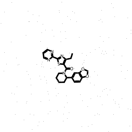 CCc1nc(-c2ncccn2)sc1C(=O)N1CCCCC1c1ccc2c(c1)OCO2